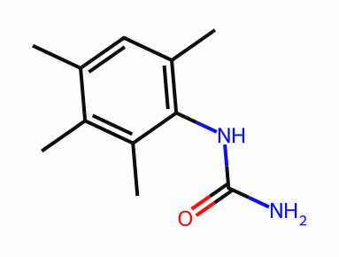 Cc1cc(C)c(NC(N)=O)c(C)c1C